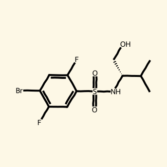 CC(C)[C@@H](CO)NS(=O)(=O)c1cc(F)c(Br)cc1F